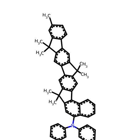 Cc1ccc2c(c1)C(C)(C)c1cc3c(cc1-2)C(C)(C)c1cc2c(cc1-3)C(C)(C)c1cc(N(c3ccccc3)c3ccccc3)c3ccccc3c1-2